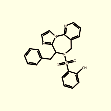 N#Cc1ccccc1S(=O)(=O)N1Cc2cccnc2-n2ccnc2C1Cc1ccccc1